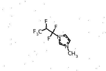 Cn1cc[n+](C(F)(F)C(F)C(F)(F)F)c1